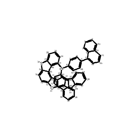 c1ccc2c(-c3ccc(N(c4cccc5sc6ccccc6c45)c4cccc5sc6ccc7oc8c9ccccc9ccc8c7c6c45)cc3)cccc2c1